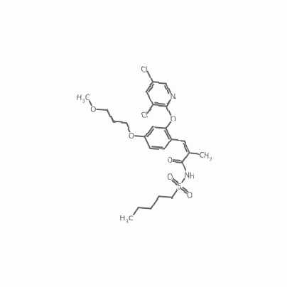 CCCCCS(=O)(=O)NC(=O)C(C)=Cc1ccc(OCCCOC)cc1Oc1ncc(Cl)cc1Cl